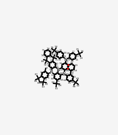 Cc1cc2c(cc1N1c3cc4c(cc3B3c5cc(N(c6ccc(C(C)(C)C)cc6)c6ccc(C(C)(C)C)cc6)ccc5N(c5ccc(C(C)(C)C)cc5-c5ccccc5)c5cc(C(C)(C)C)cc1c53)C(C)(C)c1ccccc1C4(C)C)C(C)(C)CC2(C)C